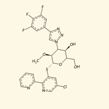 CO[C@H]1C(n2cc(-c3cc(F)c(F)c(F)c3)nn2)[C@@H](O)C(CO)O[C@@H]1Sc1cc(Cl)cnc1-c1ccccn1